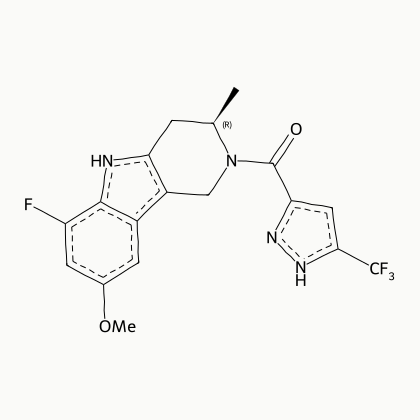 COc1cc(F)c2[nH]c3c(c2c1)CN(C(=O)c1cc(C(F)(F)F)[nH]n1)[C@H](C)C3